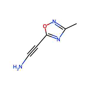 Cc1noc(C#CN)n1